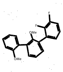 COc1ccccc1-c1[c]ccc(-c2cccc(F)c2F)c1OC